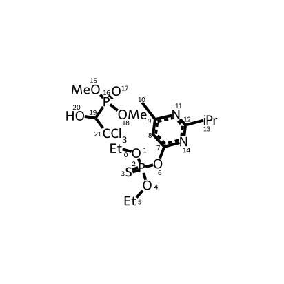 CCOP(=S)(OCC)Oc1cc(C)nc(C(C)C)n1.COP(=O)(OC)C(O)C(Cl)(Cl)Cl